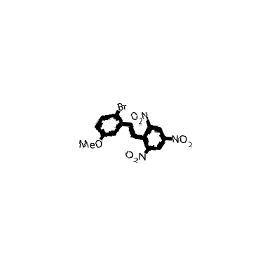 COc1ccc(Br)c(C=Cc2c([N+](=O)[O-])cc([N+](=O)[O-])cc2[N+](=O)[O-])c1